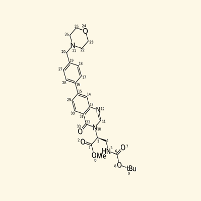 COC(=O)[C@H](CNC(=O)OC(C)(C)C)n1cnc2cc(-c3ccc(CN4CCOCC4)cc3)ccc2c1=O